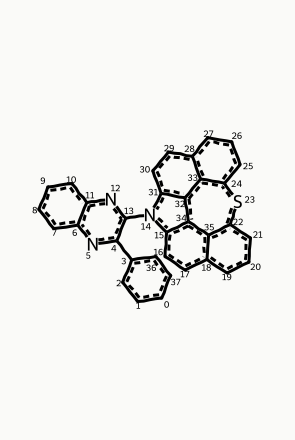 c1ccc(-c2nc3ccccc3nc2-n2c3ccc4cccc5sc6cccc7ccc2c(c76)c3c45)cc1